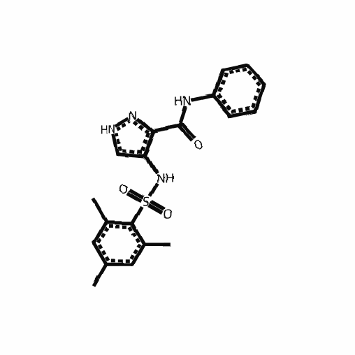 Cc1cc(C)c(S(=O)(=O)Nc2c[nH]nc2C(=O)Nc2ccccc2)c(C)c1